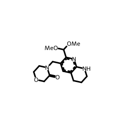 COC(OC)c1nc2c(cc1CN1CCOCC1=O)CCCN2